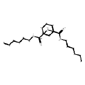 CCCCCCOC(=O)C12[CH]CCC(C(=O)OCCCCCC)(C1)O2